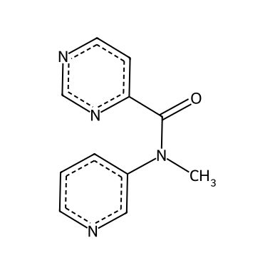 CN(C(=O)c1ccncn1)c1cccnc1